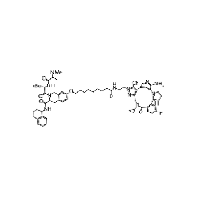 CN[C@@H](C)C(=O)N[C@H](C(=O)N1Cc2cc(OCCCCCCCCC(=O)NCCn3nc4c(c3C#N)-c3cnc(N)c(c3)N3CCC[C@@H]3c3cc(F)ccc3C(=O)N(C3CC3)C4)ccc2C[C@H]1C(=O)N[C@@H]1CCCc2ccccc21)C(C)(C)C